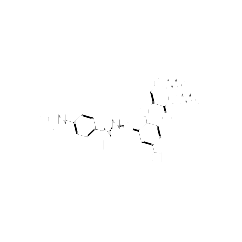 CO/C=C(/OC1C=CC(Cl)=CC1=C=NNc1ccc([N+](=O)[O-])cc1)C(=O)OC